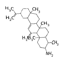 C=C(C)C1CCC2(C)CCC3C(=CC(=C)C4C3(C)CCC3C(C)C(N)CCC34C)C2C1